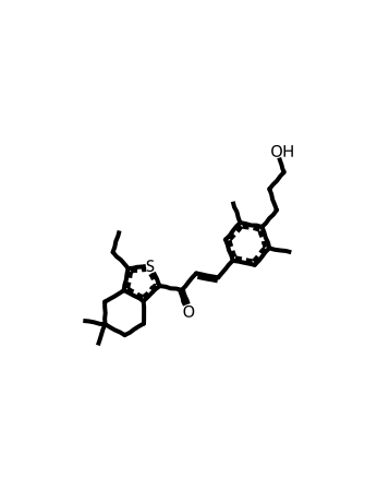 CCc1sc(C(=O)C=Cc2cc(C)c(CCCO)c(C)c2)c2c1CC(C)(C)CC2